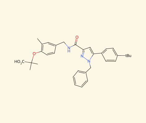 Cc1cc(CNC(=O)c2cc(-c3ccc(C(C)(C)C)cc3)n(Cc3ccccc3)n2)ccc1OC(C)(C)C(=O)O